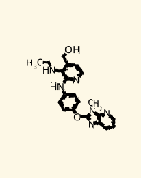 CCNc1c(CO)ccnc1Nc1ccc(Oc2nc3cccnc3n2C)cc1